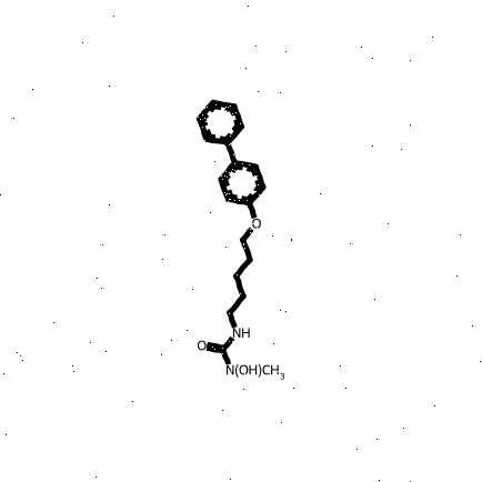 CN(O)C(=O)NCCCCCOc1ccc(-c2ccccc2)cc1